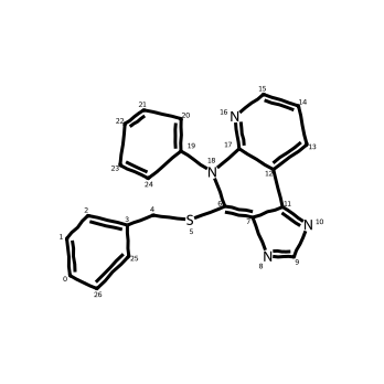 c1ccc(CSc2c3ncnc-3c3cccnc3n2-c2ccccc2)cc1